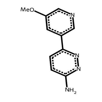 COc1cncc(-c2ccc(N)nn2)c1